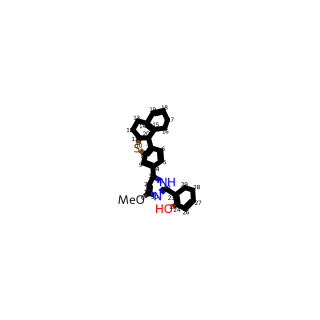 COC1=CC(c2ccc3c(c2)SC2CCC4=C(CCC=C4)C32)NC(C2=C(O)C=CCC2)=N1